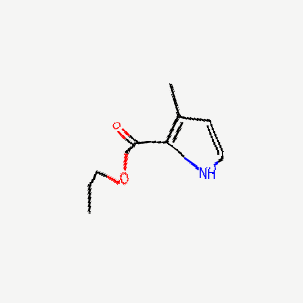 CCOC(=O)c1[nH]ccc1C